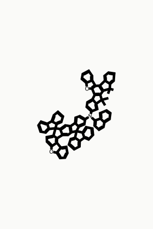 CC1(C)c2cc(N(c3ccc4c(c3)C3(c5ccccc5-c5ccccc53)c3cc5c(cc3-4)C3(c4ccccc4-c4ccccc43)c3ccc4oc6ccccc6c4c3-5)c3cccc4ccccc34)ccc2-c2c1c1c(c3c2oc2ccccc23)-c2ccccc2C1(C)C